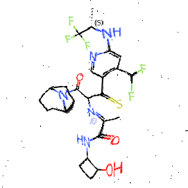 C/C(=N\C(C(=O)N1C2CCC1CC2)C(=S)c1cnc(N[C@@H](C)C(F)(F)F)cc1C(F)F)C(=O)NC1CCC1O